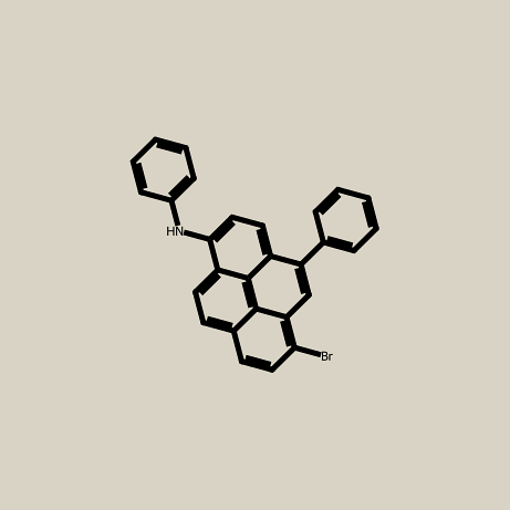 Brc1ccc2ccc3c(Nc4ccccc4)ccc4c(-c5ccccc5)cc1c2c34